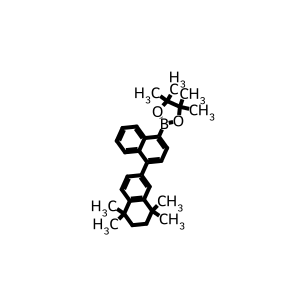 CC1(C)CCC(C)(C)c2cc(-c3ccc(B4OC(C)(C)C(C)(C)O4)c4ccccc34)ccc21